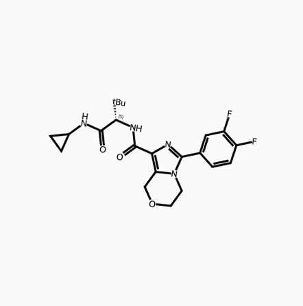 CC(C)(C)[C@H](NC(=O)c1nc(-c2ccc(F)c(F)c2)n2c1COCC2)C(=O)NC1CC1